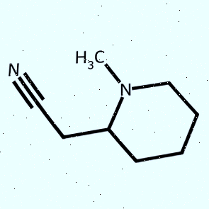 CN1CCCCC1CC#N